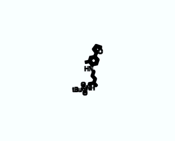 Cc1cc(-c2ccco2)ccc1NCCCC(C)CNS(=O)(=O)C(C)(C)C